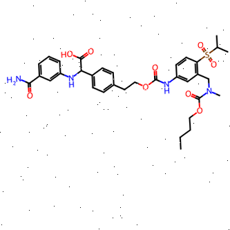 CCCCOC(=O)N(C)Cc1cc(NC(=O)OCCc2ccc(C(Nc3cccc(C(N)=O)c3)C(=O)O)cc2)ccc1S(=O)(=O)C(C)C